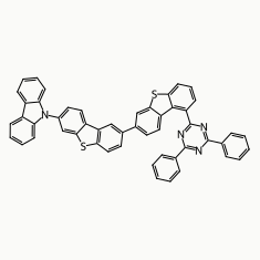 c1ccc(-c2nc(-c3ccccc3)nc(-c3cccc4sc5cc(-c6ccc7sc8cc(-n9c%10ccccc%10c%10ccccc%109)ccc8c7c6)ccc5c34)n2)cc1